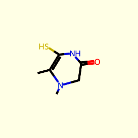 CC1=C(S)NC(=O)CN1C